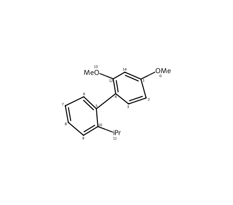 COc1ccc(-c2ccccc2C(C)C)c(OC)c1